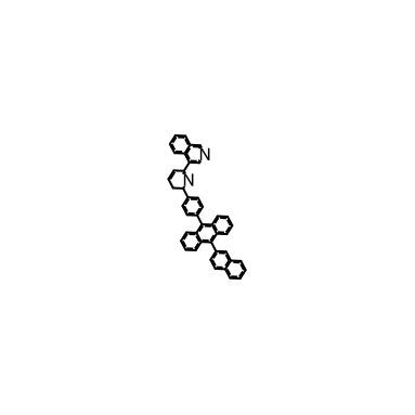 C1=CC(c2cncc3ccccc23)=NC(c2ccc(-c3c4ccccc4c(-c4ccc5ccccc5c4)c4ccccc34)cc2)C1